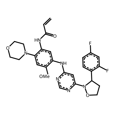 C=CC(=O)Nc1cc(Nc2cc(N3OCCC3c3ccc(F)cc3F)ncn2)c(OC)cc1N1CCOCC1